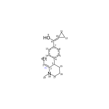 CC/C=C1\C(c2ccc(C(O)=C3CC3)cc2)CCCN1C